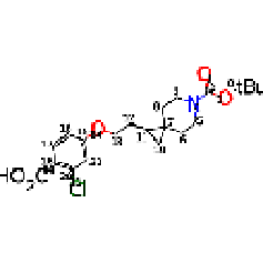 CC(C)(C)OC(=O)N1CCC2(CC1)C[C@H]2CCOc1ccc(C(=O)O)c(Cl)c1